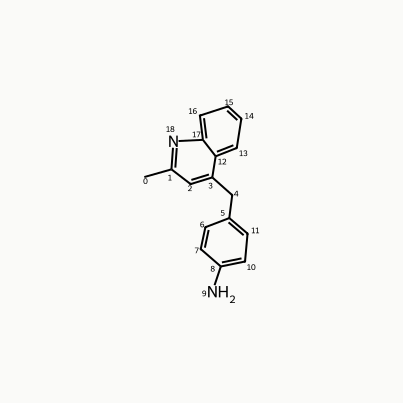 Cc1cc(Cc2ccc(N)cc2)c2ccccc2n1